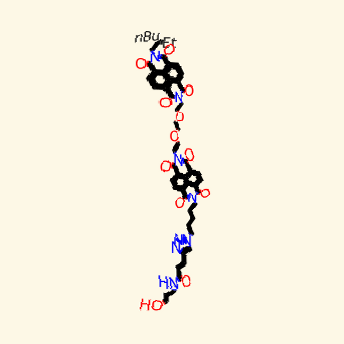 CCCCC(CC)CN1C(=O)c2ccc3c4c(ccc(c24)C1=O)C(=O)N(CCOCCOCCN1C(=O)c2ccc4c5c(ccc(c25)C1=O)C(=O)N(CCCCCn1cc(CCC(=O)NCCCO)nn1)C4=O)C3=O